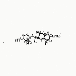 CCCC1CCC2C[C@H](c3cc4c(F)cc(OC)cc4cc3F)CC[C@@H]2C1